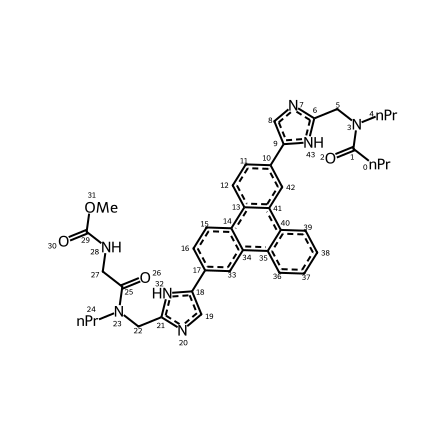 CCCC(=O)N(CCC)Cc1ncc(-c2ccc3c4ccc(-c5cnc(CN(CCC)C(=O)CNC(=O)OC)[nH]5)cc4c4ccccc4c3c2)[nH]1